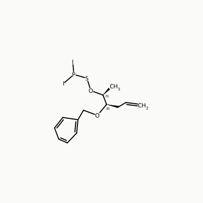 C=CC[C@@H](OCc1ccccc1)[C@H](C)OSP(I)I